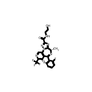 C[C@@H]1N=C(c2c(F)cccc2F)c2c(cnc(C(F)(F)F)c2Cl)-n2nc(C(=O)NCCO)nc21